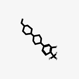 CCC1CCC(C2CCC(c3ccc(C(F)(F)F)c(F)c3)CC2)CC1